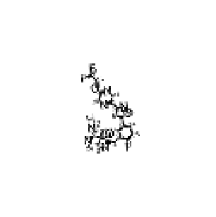 CN=S(=O)(Cc1cc(-c2cc(-c3cnc(OCC(F)F)cn3)no2)ccc1F)C(C)(C)/C(N)=N\C